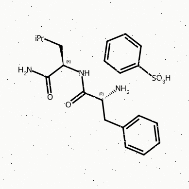 CC(C)C[C@@H](NC(=O)[C@H](N)Cc1ccccc1)C(N)=O.O=S(=O)(O)c1ccccc1